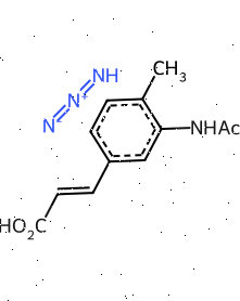 CC(=O)Nc1cc(C=CC(=O)O)ccc1C.[N-]=[N+]=N